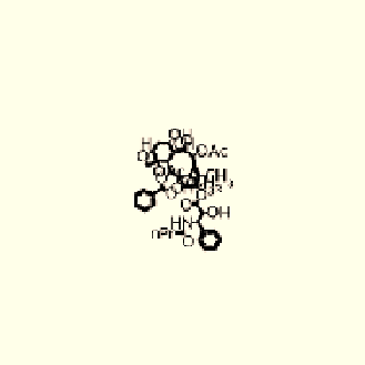 CCCC(=O)N[C@@H](c1ccccc1)[C@@H](O)C(=O)O[C@H]1C[C@@]2(O)[C@@H](OC(=O)c3ccccc3)C3[C@](C)(C(=O)[C@H](OC(C)=O)C(=C1C)C2(C)C)[C@@H](O)C[C@H]1OC[C@@]31OC(C)=O